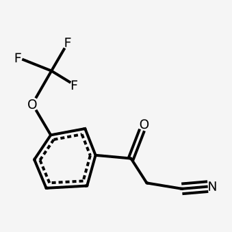 N#CCC(=O)c1cccc(OC(F)(F)F)c1